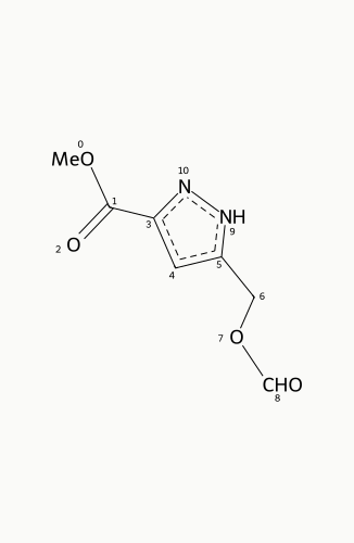 COC(=O)c1cc(COC=O)[nH]n1